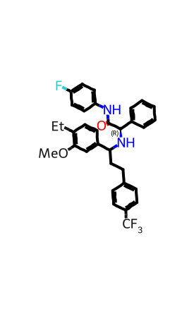 CCc1ccc(C(CCc2ccc(C(F)(F)F)cc2)N[C@@H](C(=O)Nc2ccc(F)cc2)c2ccccc2)cc1OC